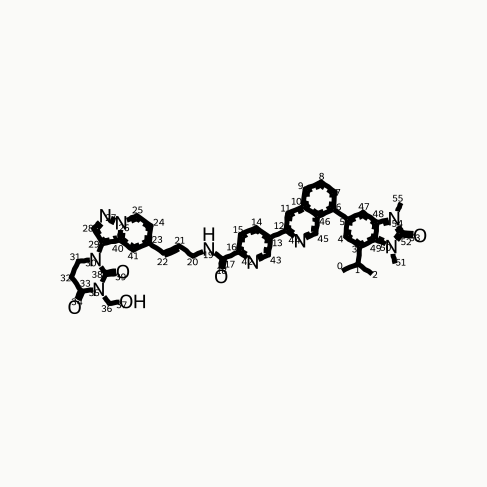 CC(C)c1cc(-c2cccc3cc(-c4ccc(C(=O)NC/C=C/c5ccn6ncc(N7CCC(=O)N(CO)C7=O)c6c5)nc4)ncc23)cc2c1n(C)c(=O)n2C